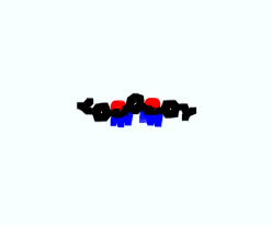 CC(C)Cc1ccc(-c2nnc(-c3cccc(-c4nnc(-c5ccc(CC(C)C)cc5)o4)c3)o2)cc1